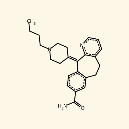 CCCCN1CCC(=C2c3ccc(C(N)=O)cc3CCc3cccnc32)CC1